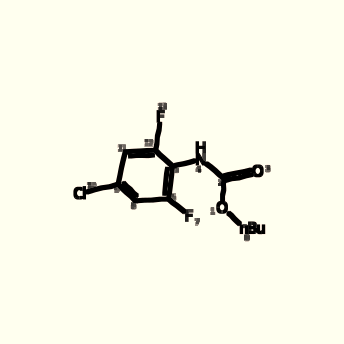 CCCCOC(=O)Nc1c(F)cc(Cl)cc1F